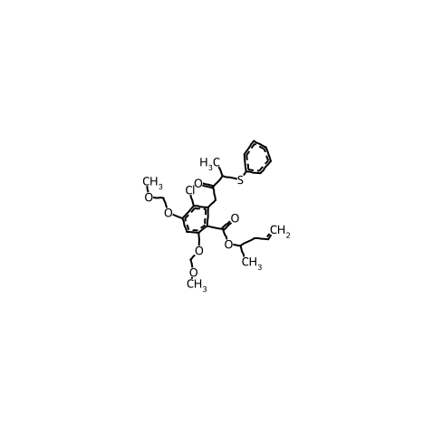 C=CCC(C)OC(=O)c1c(OCOC)cc(OCOC)c(Cl)c1CC(=O)C(C)Sc1ccccc1